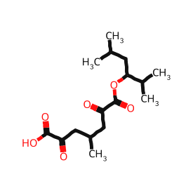 CC(C)CC(OC(=O)C(=O)CC(C)CC(=O)C(=O)O)C(C)C